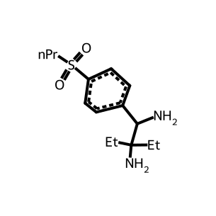 CCCS(=O)(=O)c1ccc(C(N)C(N)(CC)CC)cc1